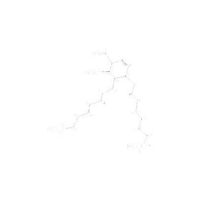 CCCCCCCCC1C(CCCCCC)C=CC(CCCCCCCC(=O)O)C1CCCCCCCC(=O)O